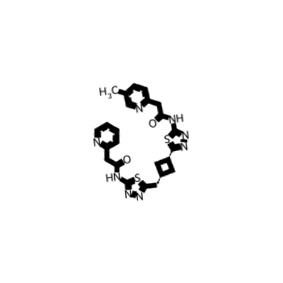 Cc1ccc(CC(=O)Nc2nnc([C@H]3C[C@@H](Cc4nnc(NC(=O)Cc5ccccn5)s4)C3)s2)nc1